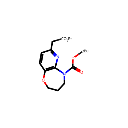 CCOC(=O)Cc1ccc2c(n1)N(C(=O)OC(C)(C)C)CCCO2